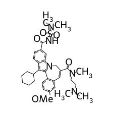 COc1ccc2c(c1)C=C(C(=O)N(C)CCN(C)C)Cn1c-2c(C2CCCCC2)c2ccc(C(=O)NS(=O)(=O)N(C)C)cc21